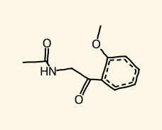 COc1ccccc1C(=O)CNC(C)=O